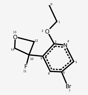 CCOc1ncc(Br)cc1C1(F)COC1